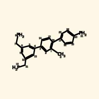 Cc1cc(-c2cc(CP)cc(CP)c2)ccc1-c1ccc(P)cc1